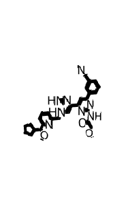 COCC(=O)Nc1nc(/C(=C/NCc2cccc(C(OC)C3CCCC3)n2)N=N)cc(-c2cccc(C#N)c2)n1